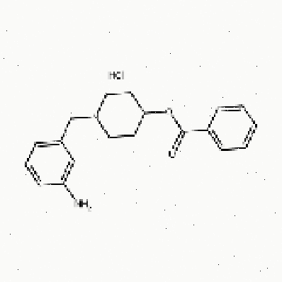 Cl.Nc1cccc(CN2CCC(OC(=O)c3ccccc3)CC2)c1